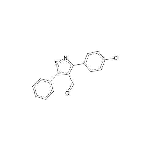 O=Cc1c(-c2ccc(Cl)cc2)nsc1-c1ccccc1